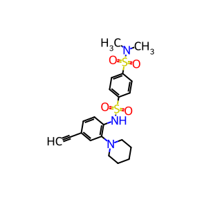 C#Cc1ccc(NS(=O)(=O)c2ccc(S(=O)(=O)N(C)C)cc2)c(N2CCCCC2)c1